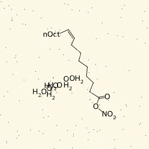 CCCCCCCC/C=C\CCCCCCCC(=O)O[N+](=O)[O-].O.O.O.O.O.O